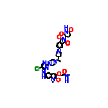 CNC(=O)COc1cc2cc(Nc3nc(N4CCN(C(C)C5CCN(c6ccc7c(c6)C(=O)N(C6CCC(=O)NC6=O)C7=O)CC5)CC4)ncc3Cl)ccc2n(C)c1=O